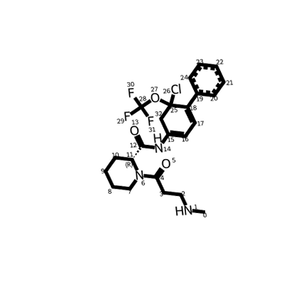 CNCCC(=O)N1CCCC[C@@H]1C(=O)NC1=CC=C(c2ccccc2)C(Cl)(OC(F)(F)F)C1